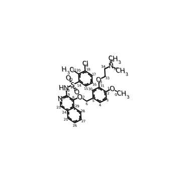 COc1ccc(COc2c(NS(=O)(=O)c3cccc(Cl)c3C)ncc3ccccc23)cc1OCCN(C)C